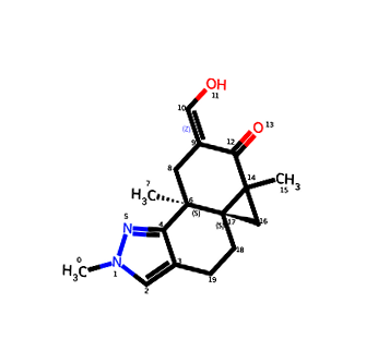 Cn1cc2c(n1)[C@@]1(C)C/C(=C/O)C(=O)C3(C)C[C@]31CC2